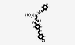 O=C(NCC[C@H](OCOCc1ccccc1)C(=O)O)c1ccc(C=Cc2ccc(Cl)cc2)cc1